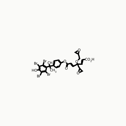 CC(C)(c1ccc(OC(=O)C=CC(C=CC(=O)O)(OCC2CO2)C2CO2)cc1)c1c(Br)c(Br)c(O)c(Br)c1Br